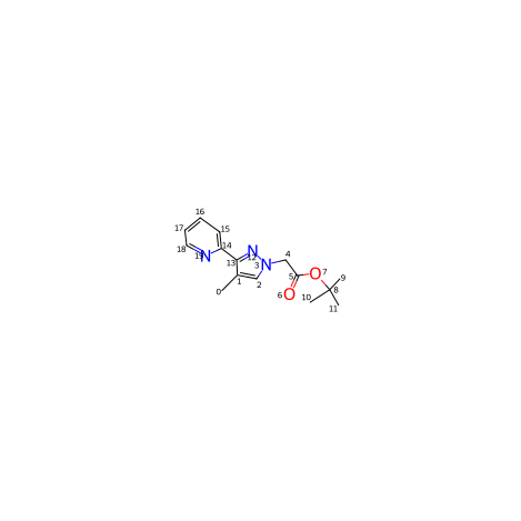 Cc1cn(CC(=O)OC(C)(C)C)nc1-c1ccccn1